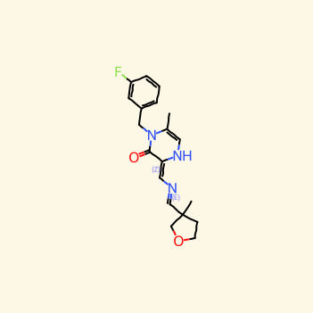 CC1=CN/C(=C\N=C\C2(C)CCOC2)C(=O)N1Cc1cccc(F)c1